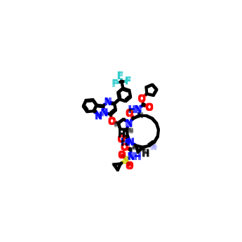 O=C(N[C@H]1CCCCC/C=C\[C@@H]2C[C@@]2(C(=O)NS(=O)(=O)C2CC2)NC(=O)[C@@H]2C[C@@H](Oc3cc(-c4cccc(C(F)(F)F)c4)nc4c5ccccc5nn34)CN2C1=O)OC1CCCC1